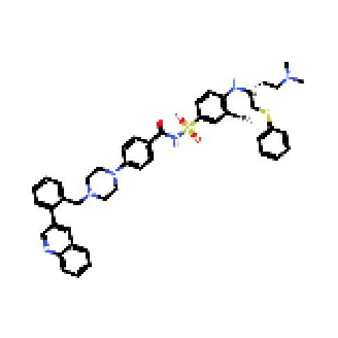 CN(C)CC[C@H](CSc1ccccc1)Nc1ccc(S(=O)(=O)NC(=O)c2ccc(N3CCN(Cc4ccccc4-c4cnc5ccccc5c4)CC3)cc2)cc1[N+](=O)[O-]